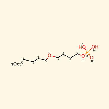 CCCCCCCCCCCCOCCCCOP(=O)(O)O